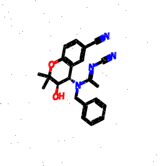 CC(=NC#N)N(Cc1ccccc1)[C@H]1c2cc(C#N)ccc2OC(C)(C)[C@@H]1O